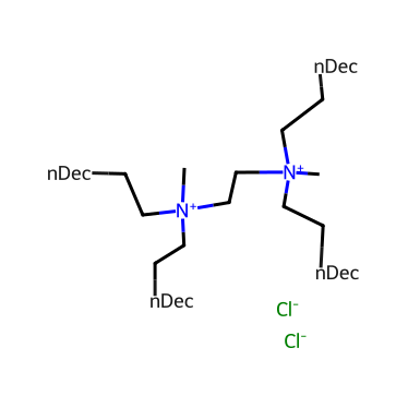 CCCCCCCCCCCC[N+](C)(CCCCCCCCCCCC)CC[N+](C)(CCCCCCCCCCCC)CCCCCCCCCCCC.[Cl-].[Cl-]